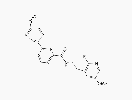 CCOc1ccc(-c2ccnc(C(=O)NCCc3cc(OC)cnc3F)n2)cn1